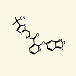 CC(C)(C#N)c1cnc(CNC(=O)c2cccnc2Oc2ccc3nonc3c2)s1